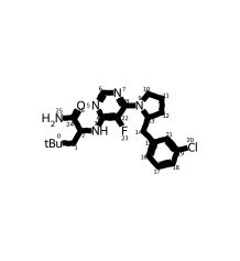 CC(C)(C)CC(Nc1ncnc(N2CCCC2Cc2cccc(Cl)c2)c1F)C(N)=O